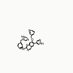 C1=NCNN1Cc1cccc(Nc2ncc3cc(-c4cn[nH]c4)c(OCc4cccnc4)cc3n2)c1